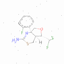 NC1=N[C@@]2(c3ccccc3F)CO[C@H](C(F)F)[C@H]2CS1